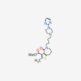 COC(=O)c1c(C)sc2c1C(=O)N(CCCCN1CCN(c3ncccn3)CC1)CCC2